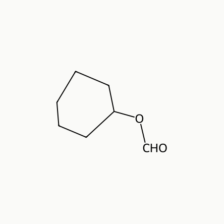 O=COC1CCCCC1